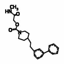 CNC(=O)COC(=O)N1CCC(CCc2cccc(-c3ccccc3)c2)CC1